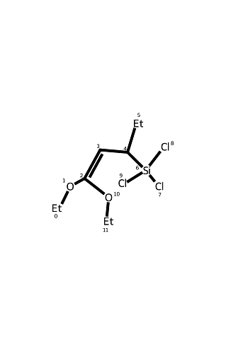 CCOC(=CC(CC)[Si](Cl)(Cl)Cl)OCC